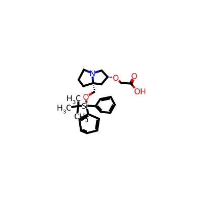 CC(C)(C)[Si](OC[C@]12CCCN1C[C@H](OCC(=O)O)C2)(c1ccccc1)c1ccccc1